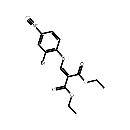 [C-]#[N+]c1ccc(NC=C(C(=O)OCC)C(=O)OCC)c(Br)c1